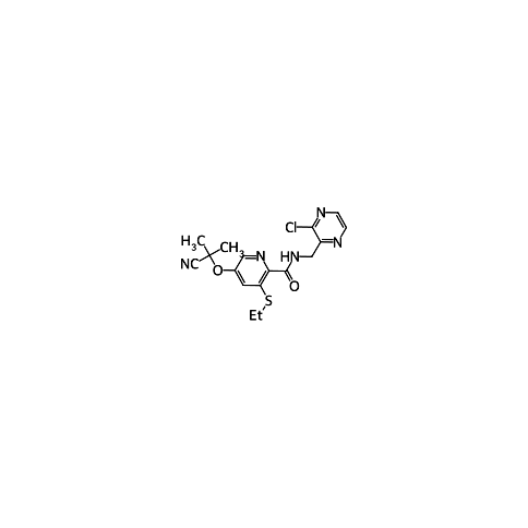 CCSc1cc(OC(C)(C)C#N)cnc1C(=O)NCc1nccnc1Cl